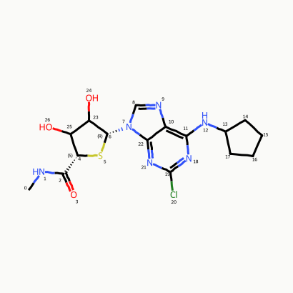 CNC(=O)[C@H]1S[C@@H](n2cnc3c(NC4CCCC4)nc(Cl)nc32)C(O)C1O